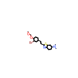 COCOc1ccc(C=Cc2nc3ccc(N(C)C)cc3s2)cc1Br